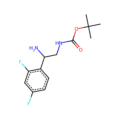 CC(C)(C)OC(=O)NCC(N)c1ccc(F)cc1F